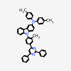 Cc1ccc(N(c2ccc(C)cc2)c2ccc3c(c2)c2ccccc2n3-c2ccc(-c3cc(-c4ccccc4)nc(-c4ccccc4)n3)cc2C)cc1